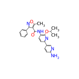 Cc1onc(-c2ccccc2)c1C(=O)Nc1ccc(-c2ccc(N)nc2)nc1OC(C)C